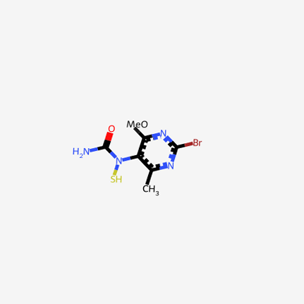 COc1nc(Br)nc(C)c1N(S)C(N)=O